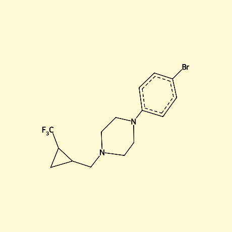 FC(F)(F)C1CC1CN1CCN(c2ccc(Br)cc2)CC1